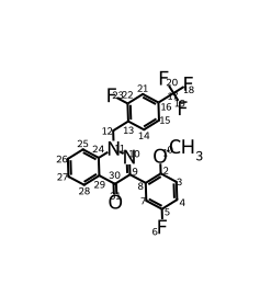 COc1ccc(F)cc1-c1nn(Cc2ccc(C(F)(F)F)cc2F)c2ccccc2c1=O